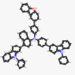 c1ccc(-n2c3ccccc3c3cc(-c4ccc(N(c5ccc(-c6ccc7oc8ccccc8c7c6)cc5)c5ccc(-c6ccc7c8ccccc8n(-c8ccccc8)c7c6)c6ccccc56)cc4)ccc32)cc1